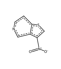 O=[N+]([O-])c1csc2ccncc12